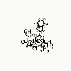 C=CC[C@H]1C(=O)C[C@@H](C)[C@@H]1/C=C/[C@@H](O[Si](C)(C)C(C)(C)C)c1cc2ccccc2s1